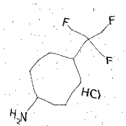 Cl.NC1CCC(C(F)(F)F)CC1